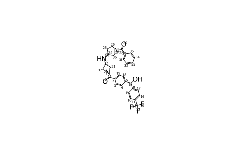 O=C(c1ccc(C(O)c2ccc(C(F)(F)F)cc2)cc1)N1CC(N[C@H]2CCN(C(=O)c3ccccc3)C2)C1